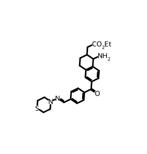 CCOC(=O)CC1CCc2cc(C(=O)c3ccc(C=NN4CCSCC4)cc3)ccc2C1N